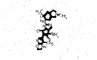 COc1cc2c(cc1Nc1ncc3c(N)c(F)c(-c4cnc5c(c4C)NCCO5)c(Cl)c3n1)CN(C)CC2